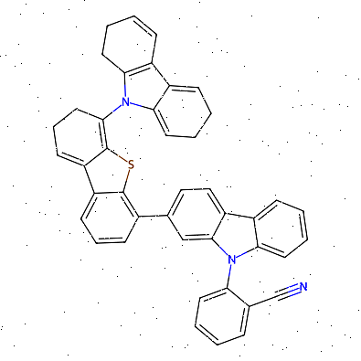 N#Cc1ccccc1-n1c2ccccc2c2ccc(-c3cccc4c5c(sc34)=C(n3c4c(c6c3=CCCC=6)C=CCC4)CCC=5)cc21